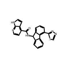 O=C(NC1c2ccccc2-c2c(-c3nncs3)cccc21)c1ccnc2[nH]ccc12